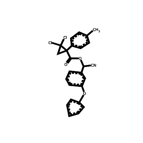 Cc1ccc(C2(C(=O)OC(C#N)c3cccc(Oc4ccccc4)c3)CC2(Cl)Cl)cc1